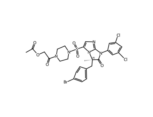 CC(=O)OCC(=O)N1CCN(S(=O)(=O)c2cnc3n2[C@](C)(Cc2ccc(Br)cc2)C(=O)N3c2cc(Cl)cc(Cl)c2)CC1